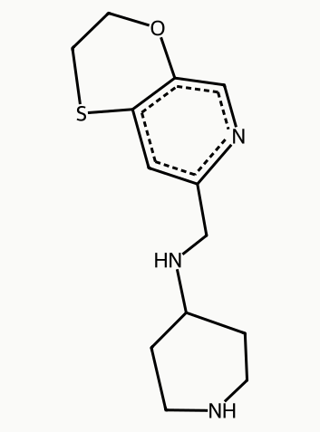 c1nc(CNC2CCNCC2)cc2c1OCCS2